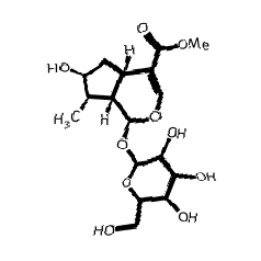 COC(=O)C1=CO[C@@H](OC2OC(CO)C(O)C(O)C2O)[C@@H]2[C@@H](C)[C@@H](O)C[C@H]12